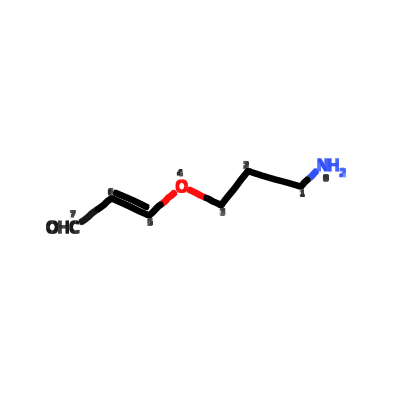 NCCCOC=CC=O